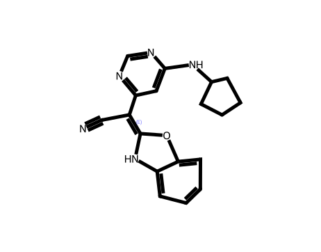 N#C/C(=C1\Nc2ccccc2O1)c1cc(NC2CCCC2)ncn1